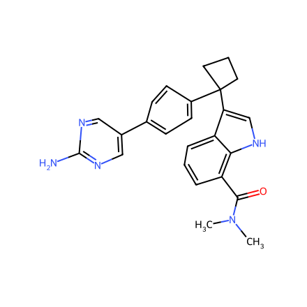 CN(C)C(=O)c1cccc2c(C3(c4ccc(-c5cnc(N)nc5)cc4)CCC3)c[nH]c12